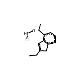 CCC1=Cc2c(cccc2CC)[CH]1.[Cl][Hf][Cl]